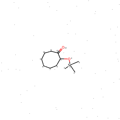 C[Si](C)(C)OC1CCCCCCC1=O